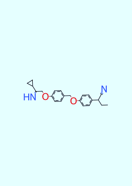 CCC(C#N)c1ccc(OCc2ccc(OCC(=N)C3CC3)cc2)cc1